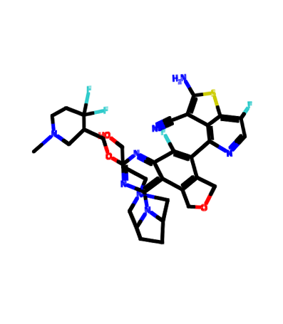 CN1CCC(F)(F)C(COc2nc(N3C4CCC3CN(CCCO)C4)c3c4c(c(-c5ncc(F)c6sc(N)c(C#N)c56)c(F)c3n2)COC4)C1